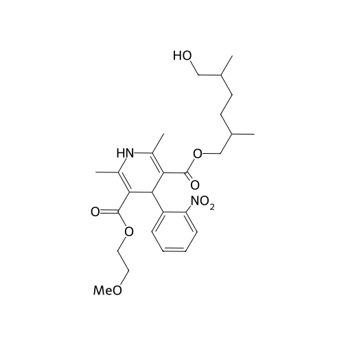 COCCOC(=O)C1=C(C)NC(C)=C(C(=O)OCC(C)CCC(C)CO)C1c1ccccc1[N+](=O)[O-]